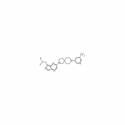 FC(F)Cn1ncc2ncc(N3CCC4(CCN(c5cncc(C(F)(F)F)c5)CC4)C3)nc21